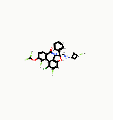 NC(=O)c1ccc(OC(F)F)c(F)c1-c1c(Cl)c(F)cc2c1C[C@@](CN[C@H]1C[C@H](F)C1)(c1ccccc1)O2